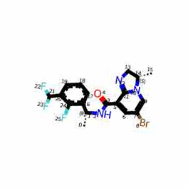 C[C@@H](NC(=O)C1=CC(Br)=CN2C1=NC[C@@H]2C)c1cccc(C(F)F)c1F